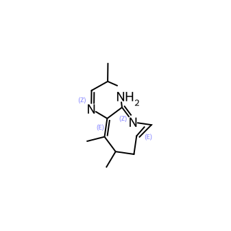 C/C1=C(\N=C/C(C)C)C(/N)=N/C=C/CC1C